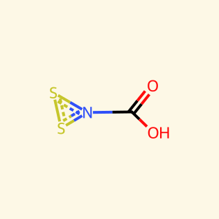 O=C(O)n1ss1